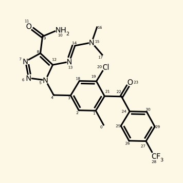 Cc1cc(Cn2nnc(C(N)=O)c2N=CN(C)C)cc(Cl)c1C(=O)c1ccc(C(F)(F)F)cc1